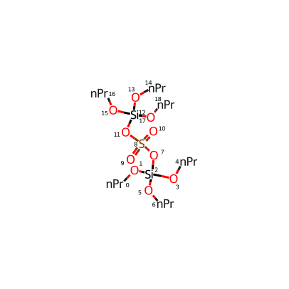 CCCO[Si](OCCC)(OCCC)OS(=O)(=O)O[Si](OCCC)(OCCC)OCCC